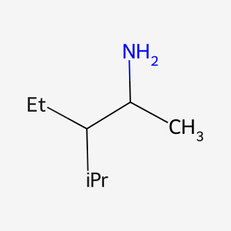 CCC(C(C)C)C(C)N